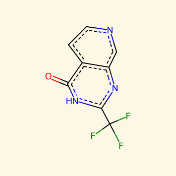 O=c1[nH]c(C(F)(F)F)nc2cnccc12